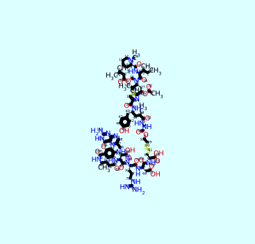 CCC(C)[C@H](NC(=O)[C@H]1CCCCN1C)C(=O)N(COC(=O)CC(C)C)[C@H](C[C@@H](OC(C)=O)c1nc(C(=O)N[C@@H](Cc2ccc(O)cc2)C[C@H](C)C(=O)NNC(=O)OCCSSC[C@H](NC(=O)[C@H](CC(=O)O)NC(=O)[C@H](CCCNC(=N)N)NC(=O)[C@H](CC(=O)O)NC(=O)CC[C@@H](C)NC(=O)c2ccc(NCc3cnc4nc(N)[nH]c(=O)c4n3)cc2)C(=O)O)cs1)C(C)C